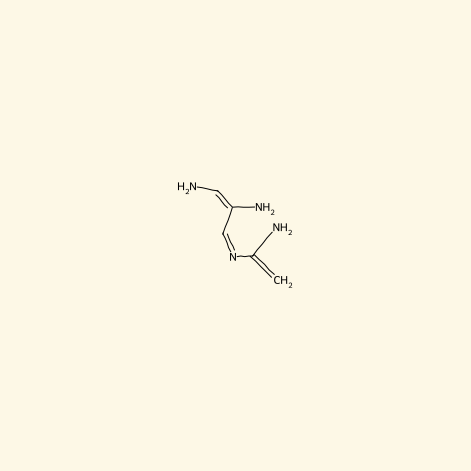 C=C(N)/N=C\C(N)=C/N